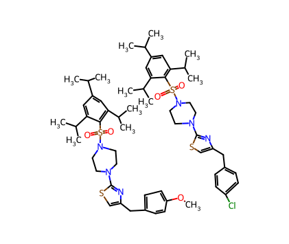 CC(C)c1cc(C(C)C)c(S(=O)(=O)N2CCN(c3nc(Cc4ccc(Cl)cc4)cs3)CC2)c(C(C)C)c1.COc1ccc(Cc2csc(N3CCN(S(=O)(=O)c4c(C(C)C)cc(C(C)C)cc4C(C)C)CC3)n2)cc1